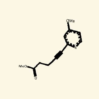 COC(=O)CCC#Cc1cc(OC)ccn1